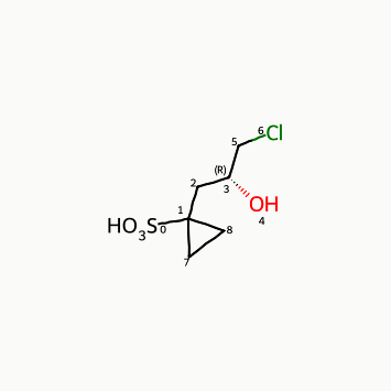 O=S(=O)(O)C1(C[C@@H](O)CCl)CC1